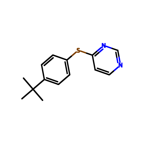 CC(C)(C)c1ccc(Sc2ccncn2)cc1